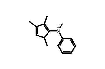 CC1=CC(C)C([SiH](C)c2ccccc2)=C1C